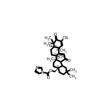 CC1(C)CC[C@]2(COC(=O)n3ccnc3)CC[C@]3(C)C(C(=O)C=C4[C@@]5(C)C=C(C#N)C(=O)C(C)(C)[C@@H]5CC[C@]43C)C2C1